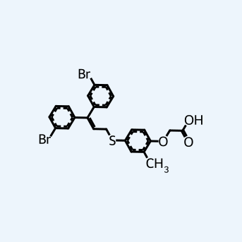 Cc1cc(SCC=C(c2cccc(Br)c2)c2cccc(Br)c2)ccc1OCC(=O)O